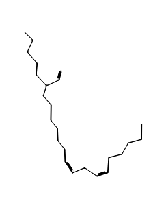 CCCCC/C=C\C/C=C\CCCCCCC([C]=O)CCCCC